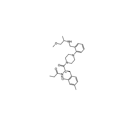 CCC(=O)N[C@H](Cc1ccc(C)cc1Cl)C(=O)N1CCN(c2ccccc2CNC(C)COC)CC1